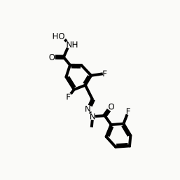 CN(/N=C/c1c(F)cc(C(=O)NO)cc1F)C(=O)c1ccccc1F